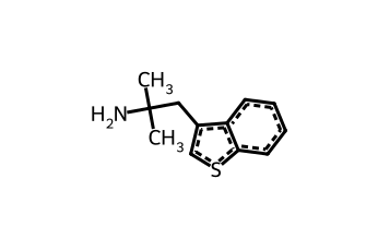 CC(C)(N)Cc1csc2ccccc12